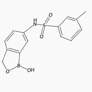 Cc1cccc(S(=O)(=O)Nc2ccc3c(c2)B(O)OC3)c1